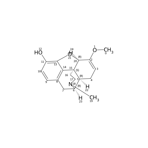 COC1=CC[C@H]2[C@H]3Cc4ccc(O)c5c4[C@@]2(CCN3C)[C@H]1O5